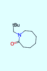 CC(C)(C)CN1CCCCCCC1=O